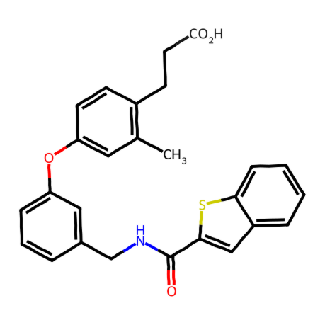 Cc1cc(Oc2cccc(CNC(=O)c3cc4ccccc4s3)c2)ccc1CCC(=O)O